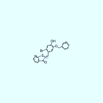 O=C1/C(=C/c2cc(OCc3cccnc3)c(O)cc2Br)Sc2ncccc21